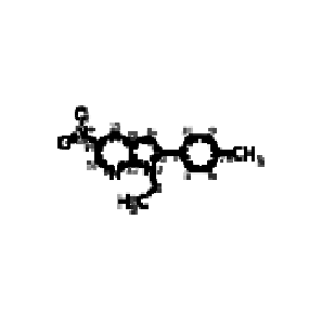 CCn1c(-c2ccc(C)cc2)cc2cc([N+](=O)[O-])cnc21